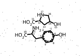 NC(Cc1ccc(O)cc1)C(=O)O.O=C(O)[C@@H]1CC(O)CN1